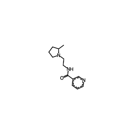 CC1CCCN1CCNC(=O)c1cccnc1